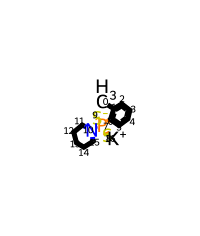 Cc1ccccc1P(=S)([S-])N1CCCCC1.[K+]